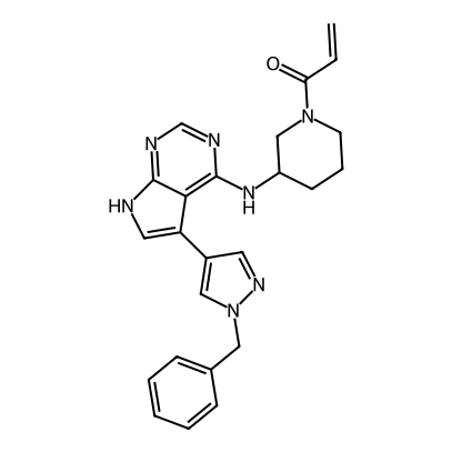 C=CC(=O)N1CCCC(Nc2ncnc3[nH]cc(-c4cnn(Cc5ccccc5)c4)c23)C1